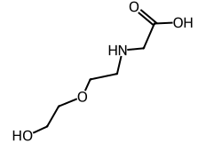 O=C(O)CNCCOCCO